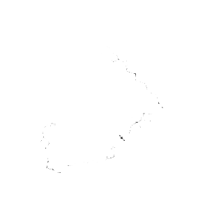 CC(C)(C)OC1CC(OCCCCOCC2CC2C2CN(C(C)(C)CCC(C)(C)N3CC(OCCCCOCC4CC4C4CC(OC(C)(C)C)C4)C3)C2)C1